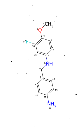 COc1ccc(NCc2ccc(N)cc2)cc1F